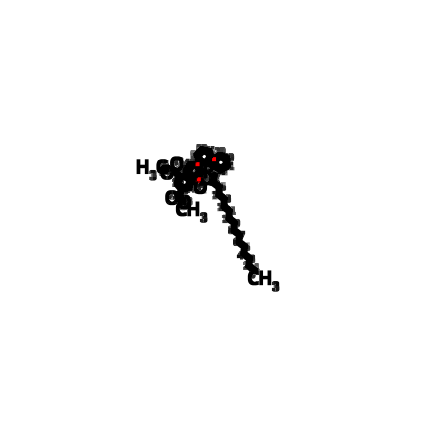 CCCCCCCCCCCCCCCCCCP(OS(=O)(=O)c1cc(C(=O)OC)cc(C(=O)OC)c1)(c1ccccc1)(c1ccccc1)c1ccccc1